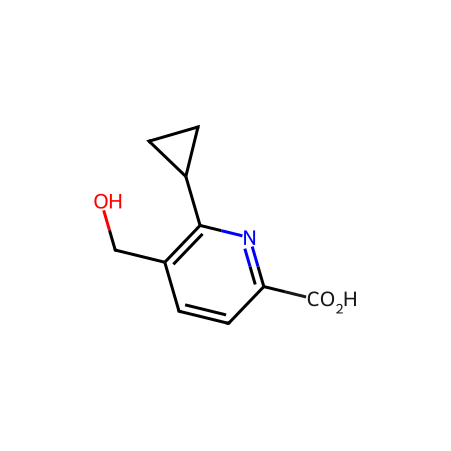 O=C(O)c1ccc(CO)c(C2CC2)n1